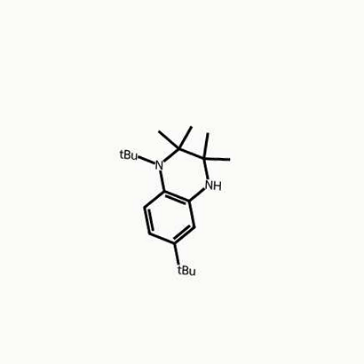 CC(C)(C)c1ccc2c(c1)NC(C)(C)C(C)(C)N2C(C)(C)C